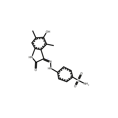 Cc1cc2c(c(C)c1O)/C(=N/Nc1ccc(S(N)(=O)=O)cc1)C(=O)N2